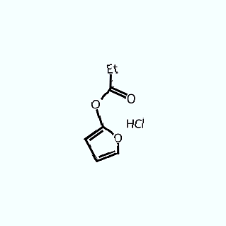 CCC(=O)Oc1ccco1.Cl